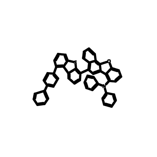 c1ccc(-c2ccc(-c3cccc4sc5c(-c6cc7c(oc8cccc(N(c9ccccc9)c9ccccc9)c87)c7ccccc67)cccc5c34)cc2)cc1